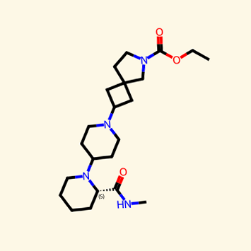 CCOC(=O)N1CCC2(CC(N3CCC(N4CCCC[C@H]4C(=O)NC)CC3)C2)C1